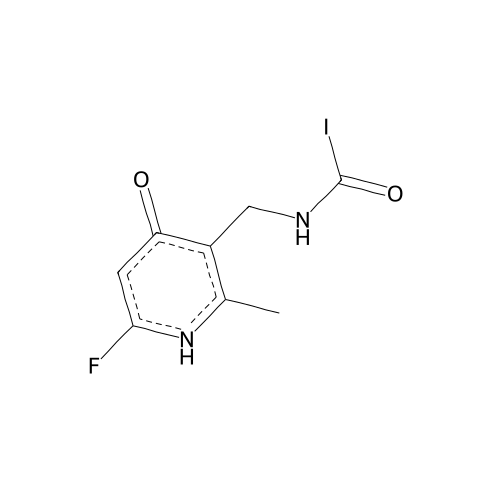 Cc1[nH]c(F)cc(=O)c1CNC(=O)I